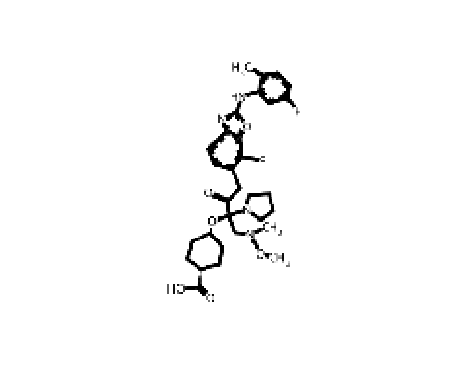 CON(C)CC(O[C@H]1CC[C@H](C(=O)O)CC1)(C(=O)Cc1ccc2nc(Nc3cc(F)ccc3C)oc2c1F)N1CCCC1